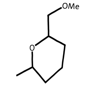 COCC1CCCC(C)O1